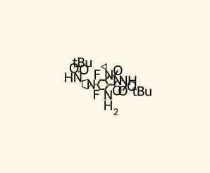 CC(C)(C)OC(=O)N[C@H]1CCN(c2c(F)c(N)c3c(=O)n(NC(=O)OC(C)(C)C)c(=O)n(C4CC4)c3c2F)C1